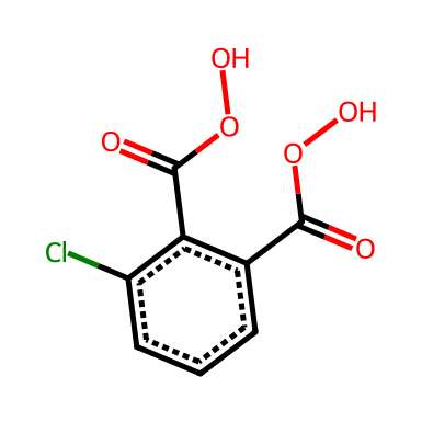 O=C(OO)c1cccc(Cl)c1C(=O)OO